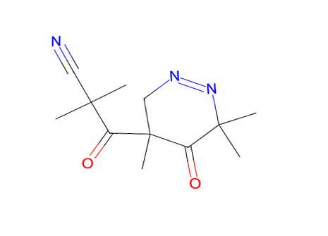 CC(C)(C#N)C(=O)C1(C)CN=NC(C)(C)C1=O